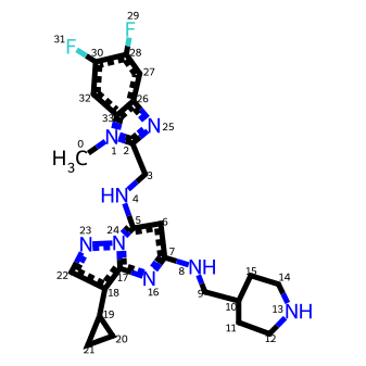 Cn1c(CNc2cc(NCC3CCNCC3)nc3c(C4CC4)cnn23)nc2cc(F)c(F)cc21